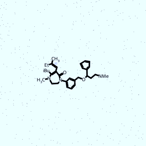 CC/C(C)=C\C1=C(C(C)CC)N(C)CCN(c2cccc(COC(CCNC)c3ccccc3)c2)C1=O